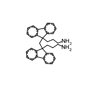 NCCCC1(CC2(CCCN)c3ccccc3-c3ccccc32)c2ccccc2-c2ccccc21